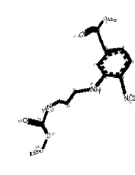 COC(=O)c1ccc(N=O)c(NCCNC(=O)OC(C)(C)C)c1